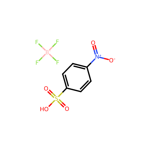 F[B-](F)(F)F.O=[N+]([O-])c1ccc(S(=O)(=O)O)cc1